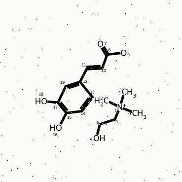 C[N+](C)(C)CCO.O=C([O-])C=Cc1ccc(O)c(O)c1